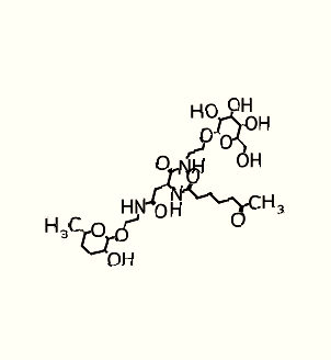 CC(=O)CCCCC(=O)N[C@@H](CC(=O)NCCO[C@@H]1O[C@@H](C)CC[C@@H]1O)C(=O)NCCO[C@H]1O[C@H](CO)[C@@H](O)[C@H](O)[C@@H]1O